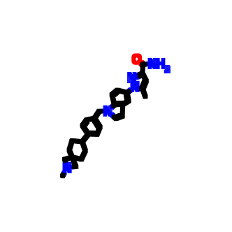 Cc1cc(C(N)=O)nn1-c1ccc2c(ccn2Cc2ccc(C3CCC4(CC3)CN(C)C4)cc2)c1